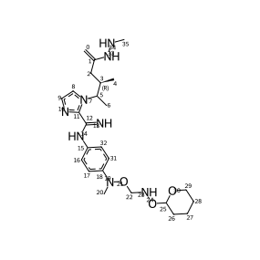 C=C(C[C@@H](C)C(C)n1ccnc1C(=N)Nc1ccc(N(C)OCNOC2CCCCO2)cc1)NNC